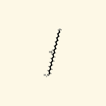 CC(C)CCCCCCCCCCCCCCCCCCCCCN.F